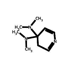 CN(C)C1(N(C)C)C=CN=CC1